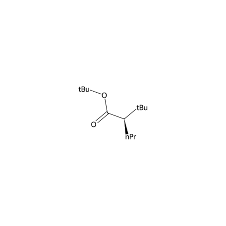 CCC[C@@H](C(=O)OC(C)(C)C)C(C)(C)C